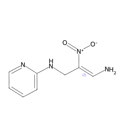 N/C=C(/CNc1ccccn1)[N+](=O)[O-]